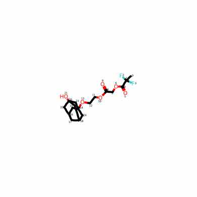 CC(F)(F)C(=O)OCC(=O)OCCOC12CC3CC(CC(O)(C3)C1)C2